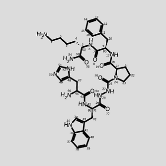 NCCCC[C@H](NC(=O)[C@@H](Cc1ccccc1)NC(=O)C1CCCN1C(=O)NNC(=O)[C@@H](Cc1c[nH]c2ccccc12)NC(=O)C(N)Cc1cnc[nH]1)C(N)=O